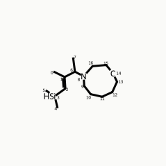 CC(=C[SiH](C)C)C(C)N1CCCCCCCC1